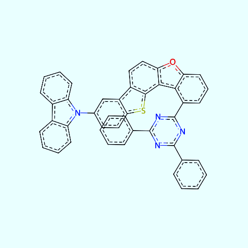 c1ccc(-c2nc(-c3ccccc3)nc(-c3cccc4oc5ccc6c7cc(-n8c9ccccc9c9ccccc98)ccc7sc6c5c34)n2)cc1